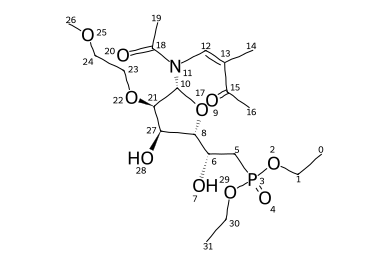 CCOP(=O)(C[C@H](O)[C@H]1O[C@@H](N(/C=C(/C)C(C)=O)C(C)=O)[C@H](OCCOC)[C@@H]1O)OCC